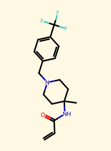 C=CC(=O)NC1(C)CCN(Cc2ccc(C(F)(F)F)cc2)CC1